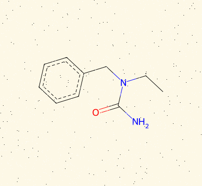 C[CH]N(Cc1ccccc1)C(N)=O